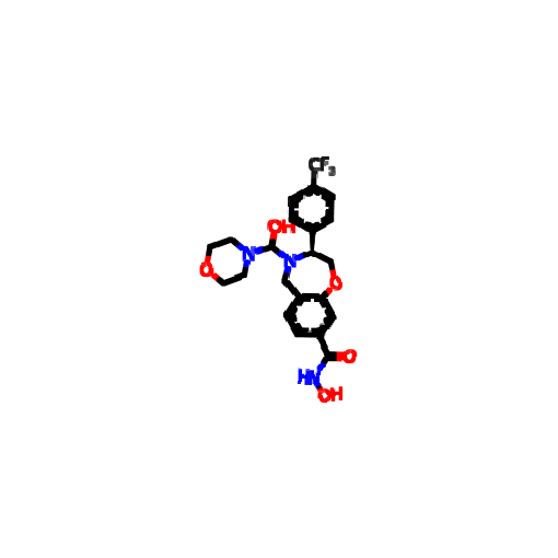 O=C(NO)c1ccc2c(c1)OC[C@H](c1ccc(C(F)(F)F)cc1)N(C(O)N1CCOCC1)C2